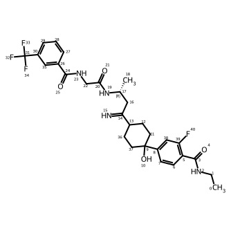 CCNC(=O)c1ccc(C2(O)CCC(C(=N)C[C@@H](C)NC(=O)CNC(=O)c3cccc(C(F)(F)F)c3)CC2)cc1F